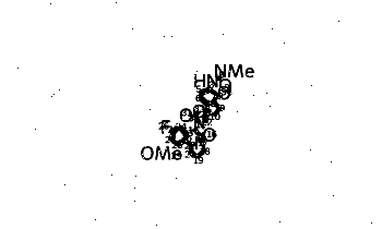 CNC(=O)NC1=CC=C2C(CC[C@]23CN(CC(=O)N2CCCC2c2ccc(F)cc2OC)C(=O)O3)C1=O